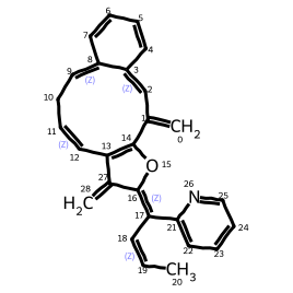 C=C1/C=c2/cccc/c2=C/C/C=C\c2c1o/c(=C(/C=C\C)c1ccccn1)c2=C